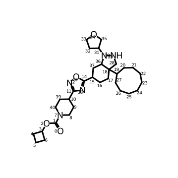 O=C(OC1CCC1)N1CCC(c2noc(C3CCC4(C5CCCCCCCC5)CNN(C5CCOC5)C4C3)n2)CC1